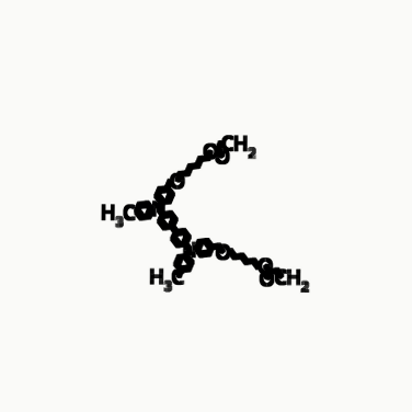 C=CC(=O)OCCCCCCOCc1ccc(N(c2ccc(C)cc2)c2ccc(-c3ccc(N(c4ccc(C)cc4)c4ccc(COCCCCCCOC(=O)C=C)cc4)cc3)cc2)cc1